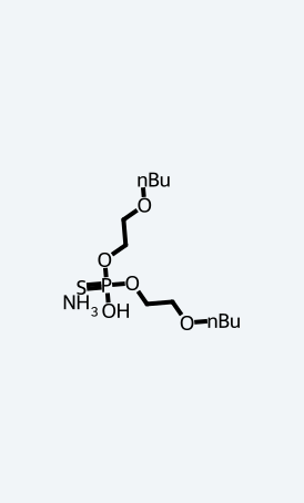 CCCCOCCOP(O)(=S)OCCOCCCC.N